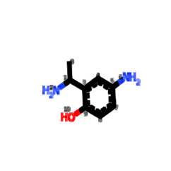 CC(N)c1cc(N)ccc1O